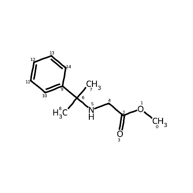 COC(=O)CNC(C)(C)c1ccccc1